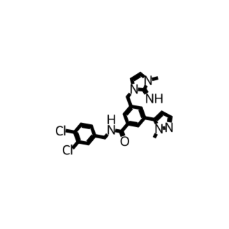 Cn1nccc1-c1cc(Cn2ccn(C)c2=N)cc(C(=O)NCc2ccc(Cl)c(Cl)c2)c1